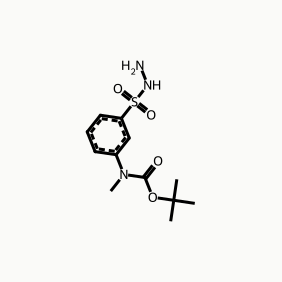 CN(C(=O)OC(C)(C)C)c1cccc(S(=O)(=O)NN)c1